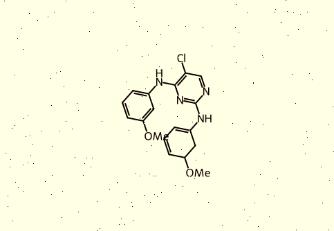 COc1cccc(Nc2nc(NC3=CC=CC(OC)C3)ncc2Cl)c1